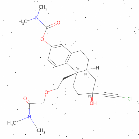 CN(C)C(=O)COCC[C@]12CC[C@@](O)(C#CCl)C[C@@H]1CCc1cc(OC(=O)N(C)C)ccc12